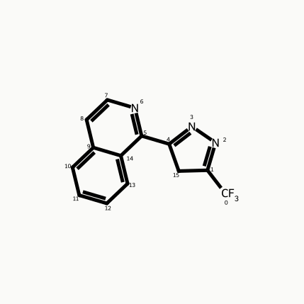 FC(F)(F)C1=NN=C(c2nccc3ccccc23)C1